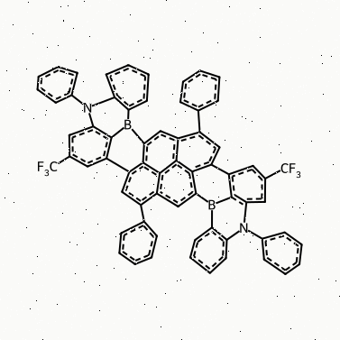 FC(F)(F)c1cc2c3c(c1)N(c1ccccc1)c1ccccc1B3c1cc3c(-c4ccccc4)cc4c5c(cc6c(-c7ccccc7)cc-2c1c6c35)B1c2ccccc2N(c2ccccc2)c2cc(C(F)(F)F)cc-4c21